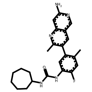 Cc1cc(F)c(NC(=O)NC2CCCCCC2)cc1-c1cc2cnc(N)cc2nc1C